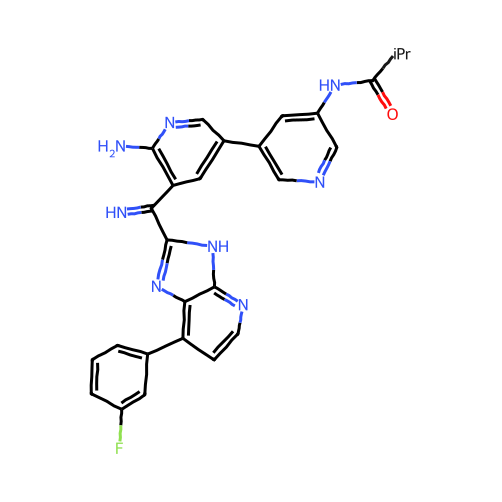 CC(C)C(=O)Nc1cncc(-c2cnc(N)c(C(=N)c3nc4c(-c5cccc(F)c5)ccnc4[nH]3)c2)c1